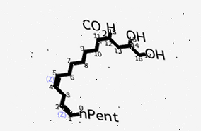 CCCCC/C=C\C/C=C\CCCCCCC(CC(O)CO)C(=O)O